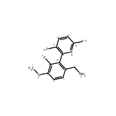 NCc1ccc(OC(F)(F)F)c(F)c1-c1nc(F)ccc1F